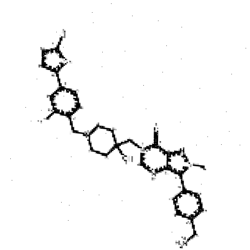 Cn1nc2c(=O)n(CC3(O)CCN(Cc4ccc(-c5ccc(Cl)s5)cc4F)CC3)cnc2c1-c1ccc(CN)cc1